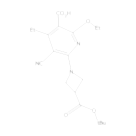 CCOc1nc(N2CC(C(=O)OC(C)(C)C)C2)c(C#N)c(CC)c1C(=O)O